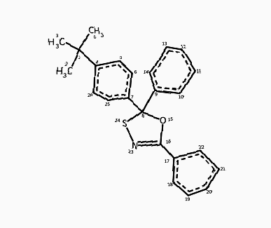 CC(C)(C)c1ccc(C2(c3ccccc3)OC(c3ccccc3)=NS2)cc1